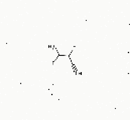 C#CC(F)C(C)F